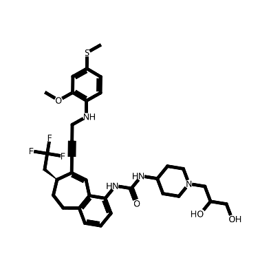 COc1cc(SC)ccc1NCC#CC1=Cc2c(cccc2NC(=O)NC2CCN(CC(O)CO)CC2)CC[C@H]1CC(F)(F)F